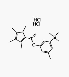 Cl.Cl.[CH2]=[Ti]([O]c1cc(C)cc([Si](C)(C)C)c1)[C]1=C(C)C(C)=C(C)C1C